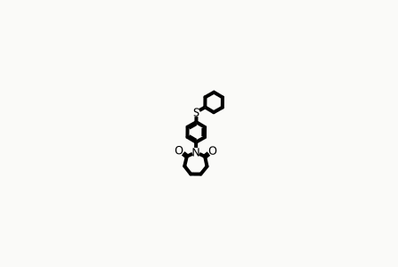 O=C1CCCCC(=O)N1c1ccc(SC2CCCCC2)cc1